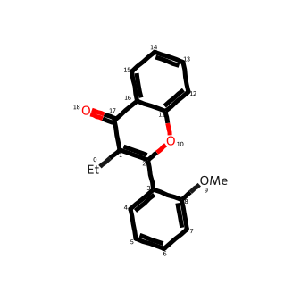 CCc1c(-c2ccccc2OC)oc2ccccc2c1=O